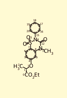 CCOC(=O)[C@@H](C)Oc1ccc2c(c1)N(C)C(=O)N(c1ccccc1)S2(=O)=O